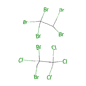 BrC(Br)C(Br)(Br)Br.ClC(Cl)(Cl)C(Cl)(Br)Br